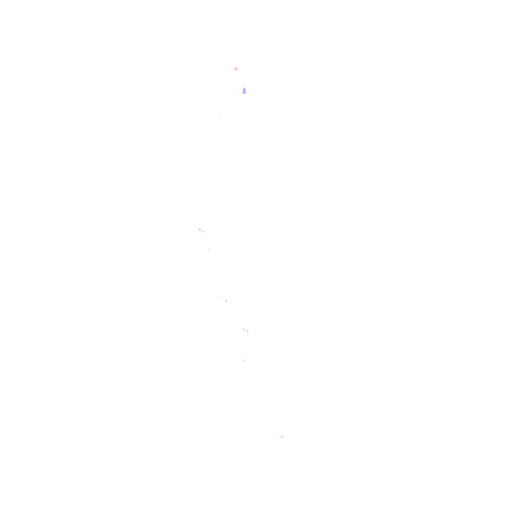 O=C(CCCCCNC(=O)Cc1csc(NC(=O)OCc2nc3ccccc3s2)n1)NO